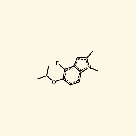 Cc1cc2c(F)c(OC(C)C)ccc2n1C